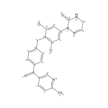 Cc1ccc(C(=O)c2ccc(Cc3c(Cl)cc(N4N=CCNC4=O)cc3Cl)cc2)cn1